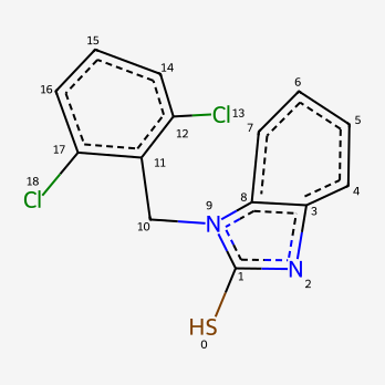 Sc1nc2ccccc2n1Cc1c(Cl)cccc1Cl